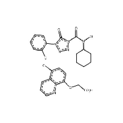 CCN(C(=O)n1nnn(-c2ccccc2Cl)c1=O)C1CCCCC1.O=C(O)COc1ccc(Cl)c2cccnc12